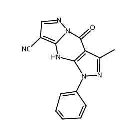 Cc1nn(-c2ccccc2)c2[nH]c3c(C#N)cnn3c(=O)c12